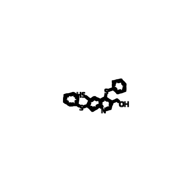 OCc1cnc2cc(Sc3ccccc3)c(S)cc2c1Sc1ccccc1